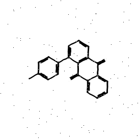 Cc1ccc(-c2cccc3c2C(=S)c2ccccc2C3=O)cc1